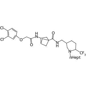 CCCCCCCN1CC(CNC(=O)C23CC(C2)C(NC(=O)COc2ccc(Cl)c(Cl)c2)C3)CCC1C(F)(F)F